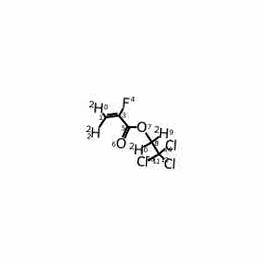 [2H]C([2H])=C(F)C(=O)OC([2H])([2H])C(Cl)(Cl)Cl